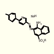 Cc1ccc(-c2ccc(N=Nc3cc(S(=O)(=O)O)c4ccccc4c3N)cn2)cc1.[NaH]